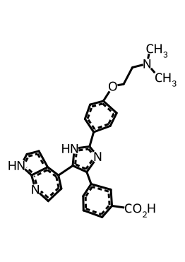 CN(C)CCOc1ccc(-c2nc(-c3cccc(C(=O)O)c3)c(-c3ccnc4[nH]ccc34)[nH]2)cc1